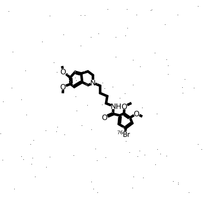 COc1cc2c(cc1OC)CN(CCCCNC(=O)c1cc([76Br])cc(OC)c1OC)CC2